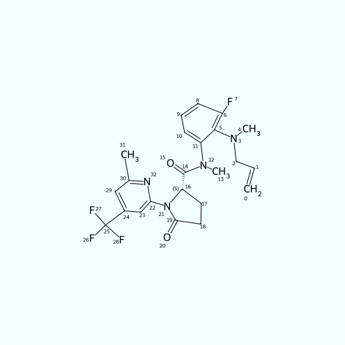 C=CCN(C)c1c(F)cccc1N(C)C(=O)[C@@H]1CCC(=O)N1c1cc(C(F)(F)F)cc(C)n1